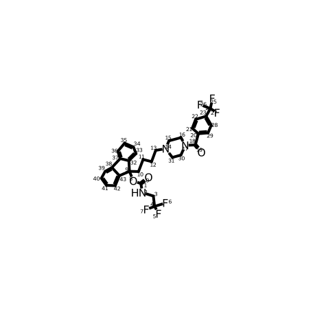 O=C(NCC(F)(F)F)OC1(CCCCN2CCN(C(=O)c3ccc(C(F)(F)F)cc3)CC2)c2ccccc2-c2ccccc21